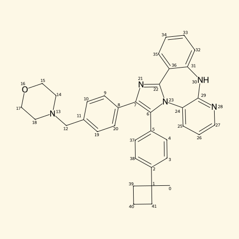 CC1(c2ccc(-c3c(-c4ccc(CN5CCOCC5)cc4)nc4n3-c3cccnc3Nc3ccccc3-4)cc2)CCC1